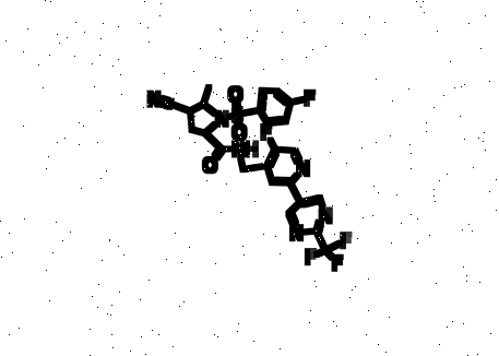 CC1C(C#N)CC(C(=O)NCc2cc(-c3cnc(C(F)(F)F)nc3)ncc2F)N1S(=O)(=O)c1ccc(F)cc1